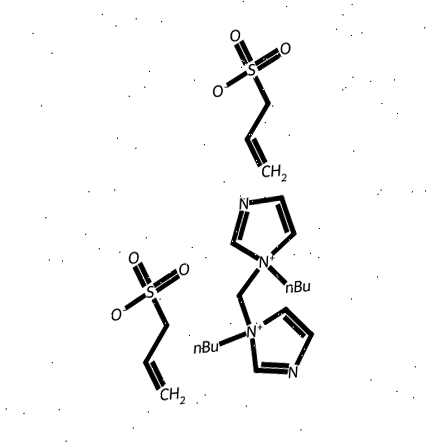 C=CCS(=O)(=O)[O-].C=CCS(=O)(=O)[O-].CCCC[N+]1(C[N+]2(CCCC)C=CN=C2)C=CN=C1